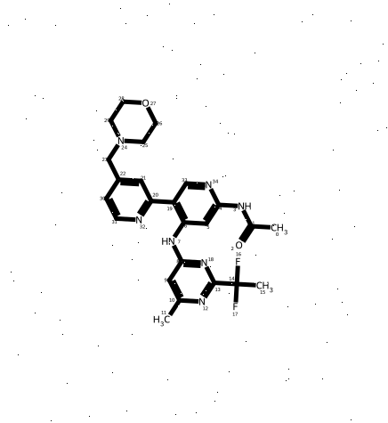 CC(=O)Nc1cc(Nc2cc(C)nc(C(C)(F)F)n2)c(-c2cc(CN3CCOCC3)ccn2)cn1